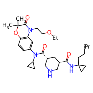 CCOCCN1C(=O)C(C)(C)Oc2ccc(N(C(=O)[C@H]3CNC[C@@H](C(=O)NC4(CCC(C)C)CC4)C3)C3CC3)cc21